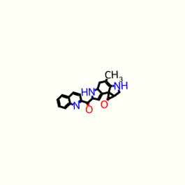 CC1=C2NCC3C(=O)C23C2=CC(C(=O)c3ccc4ccccc4n3)NC2C1